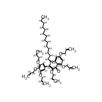 C=CCOc1cc(OCC=C)c2c(=O)c(OCC=C)c(-c3cc(OCC=C)c(OCC=C)c(OCC=C)c3)n(CCCCCCCCCCCCCC)c2c1